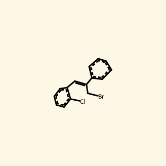 Clc1ccccc1C=C(CBr)c1ccccc1